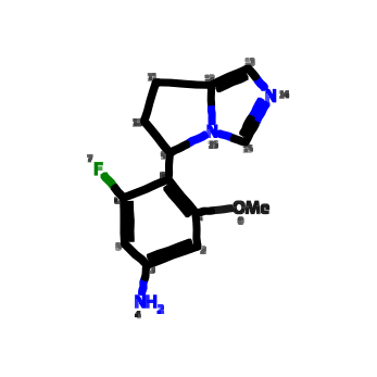 COc1cc(N)cc(F)c1C1CCc2cncn21